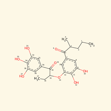 CCCC(C)C(=O)c1cc(O)c(O)c(OC(CC)C(=O)c2cc(O)c(O)c(O)c2)c1